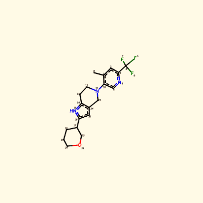 Cc1cc(C(F)(F)F)ncc1N1CCc2[nH]c(C3CCCOC3)cc2C1